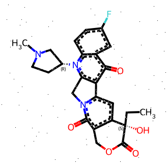 CC[C@@]1(O)C(=O)OCc2c1cc1n(c2=O)Cc2c-1c(=O)c1cc(F)ccc1n2[C@@H]1CCN(C)C1